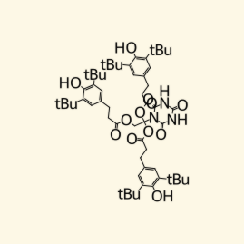 CC(C)(C)c1cc(CCC(=O)OCC(OC(=O)CCc2cc(C(C)(C)C)c(O)c(C(C)(C)C)c2)(OC(=O)CCc2cc(C(C)(C)C)c(O)c(C(C)(C)C)c2)n2c(=O)[nH]c(=O)[nH]c2=O)cc(C(C)(C)C)c1O